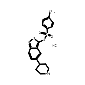 Cc1ccc(S(=O)(=O)Oc2onc3ccc(C4CCNCC4)cc23)cc1.Cl